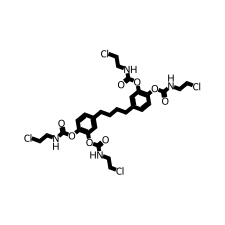 O=C(NCCCl)Oc1ccc(CCCCc2ccc(OC(=O)NCCCl)c(OC(=O)NCCCl)c2)cc1OC(=O)NCCCl